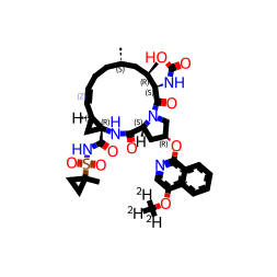 [2H]C([2H])([2H])Oc1cnc(O[C@@H]2C[C@H]3C(=O)N[C@]4(C(=O)NS(=O)(=O)C5(C)CC5)C[C@H]4/C=C\CC[C@H](C)C[C@@H](C)[C@H](NC(=O)O)C(=O)N3C2)c2ccccc12